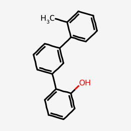 Cc1ccccc1-c1cccc(-c2ccccc2O)c1